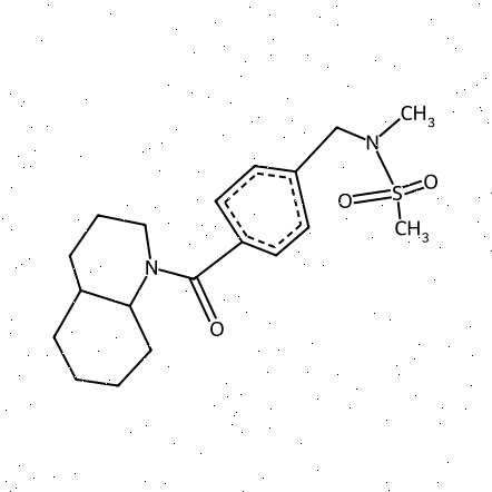 CN(Cc1ccc(C(=O)N2CCCC3CCCCC32)cc1)S(C)(=O)=O